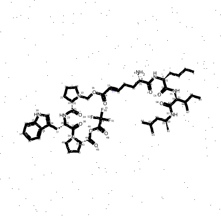 CCCC[C@H](NC(=O)[C@@H](N)CC/C=C/C(=O)OCN1CCC[C@H]1C(=O)N[C@@H](Cc1c[nH]c2ccccc12)C(=O)N1CCC[C@H]1C(=O)OC(=O)C(F)(F)F)C(=O)N[C@H](C(=O)N[C@@H](C)CC(C)C)C(C)CC